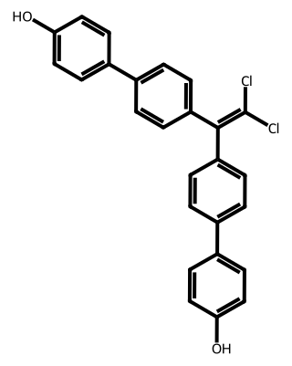 Oc1ccc(-c2ccc(C(=C(Cl)Cl)c3ccc(-c4ccc(O)cc4)cc3)cc2)cc1